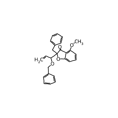 C=CC(OCc1ccccc1)C1(Cc2ccccc2)Oc2cccc(OC)c2C1=O